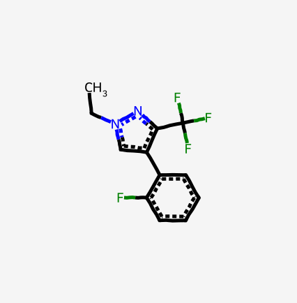 CCn1cc(-c2ccccc2F)c(C(F)(F)F)n1